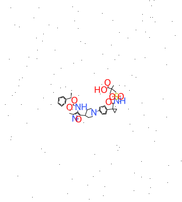 Cc1noc(C2CCN(c3ccc(C4(C(=O)NS(=O)(=O)CC(C)(C)C(=O)O)CC4)cc3)CC2)c1NC(=O)O[C@H](C)c1ccccc1